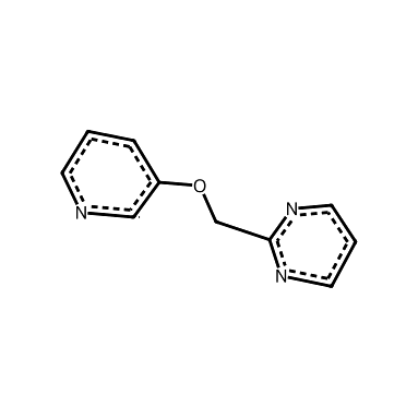 [c]1ncccc1OCc1ncccn1